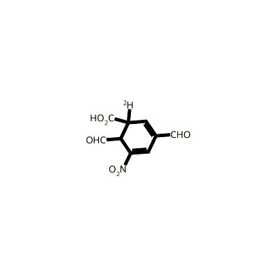 [2H]C1(C(=O)O)C=C(C=O)C=C([N+](=O)[O-])C1C=O